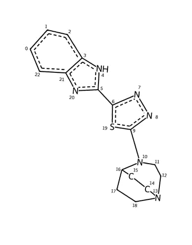 c1ccc2[nH]c(-c3nnc(N4CCN5CCC4CC5)s3)nc2c1